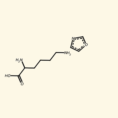 NCCCCC(N)C(=O)O.c1cocn1